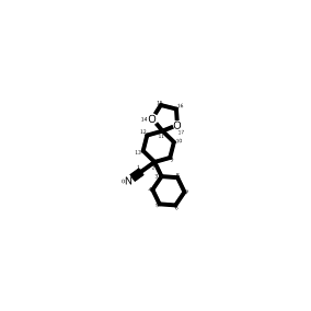 N#CC1(C2CCCCC2)CCC2(CC1)OCCO2